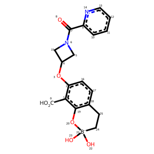 O=C(O)c1c(OC2CN(C(=O)c3ccccn3)C2)ccc2c1O[B-](O)(O)CC2